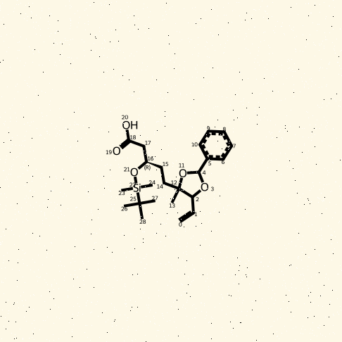 C=CC1OC(c2ccccc2)OC1(C)CC[C@H](CC(=O)O)O[Si](C)(C)C(C)(C)C